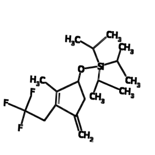 C=C1CC(O[Si](C(C)C)(C(C)C)C(C)C)C(C)=C1CC(F)(F)F